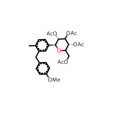 COc1ccc(Cc2cc([C@@H]3OC(COC(C)=O)[C@@H](OC(C)=O)C(OC(C)=O)[C@H]3OC(C)=O)ccc2C)cc1